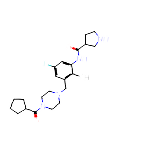 Cc1c(CN2CCN(C(=O)C3CCCC3)CC2)cc(F)cc1NC(=O)C1CCNC1